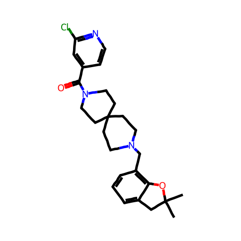 CC1(C)Cc2cccc(CN3CCC4(CC3)CCN(C(=O)c3ccnc(Cl)c3)CC4)c2O1